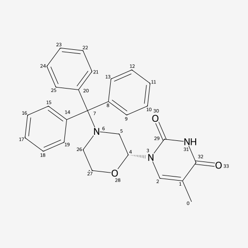 Cc1cn([C@H]2CN(C(c3ccccc3)(c3ccccc3)c3ccccc3)C[CH]O2)c(=O)[nH]c1=O